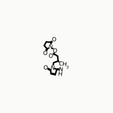 CC(CC(=O)ON1C(=O)CCC1=O)CN1C(=N)C=CC1=O